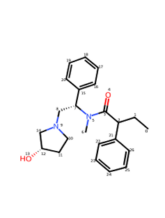 CCC(C(=O)N(C)[C@H](CN1CC[C@H](O)C1)c1ccccc1)c1ccccc1